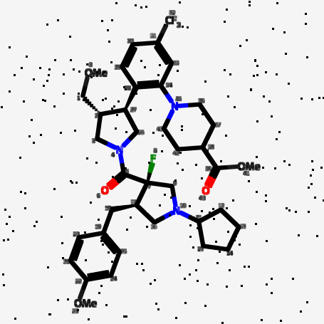 COC[C@H]1CN(C(=O)[C@]2(F)CN(C3CCCC3)C[C@H]2Cc2ccc(OC)cc2)C[C@@H]1c1ccc(C(F)(F)F)cc1N1CCC(C(=O)OC)CC1